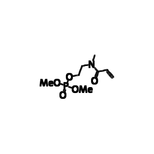 C=CC(=O)N(C)CCOP(=O)(OC)OC